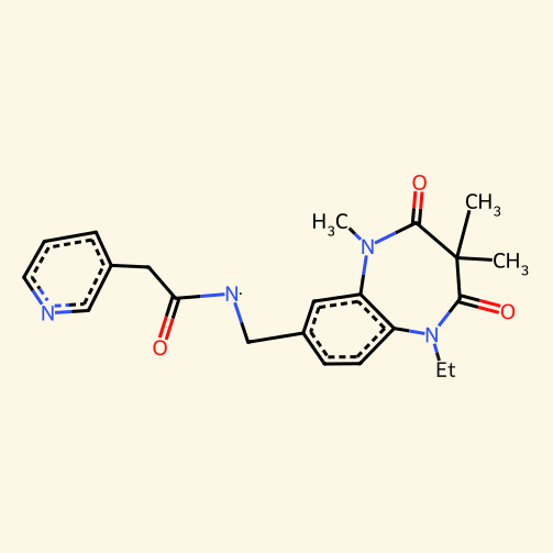 CCN1C(=O)C(C)(C)C(=O)N(C)c2cc(C[N]C(=O)Cc3cccnc3)ccc21